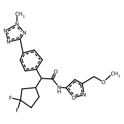 COCc1cc(NC(=O)C(c2ccc(-c3nnn(C)n3)cc2)C2CCC(F)(F)C2)on1